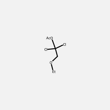 CCOCC(Cl)(Cl)OC(C)=O